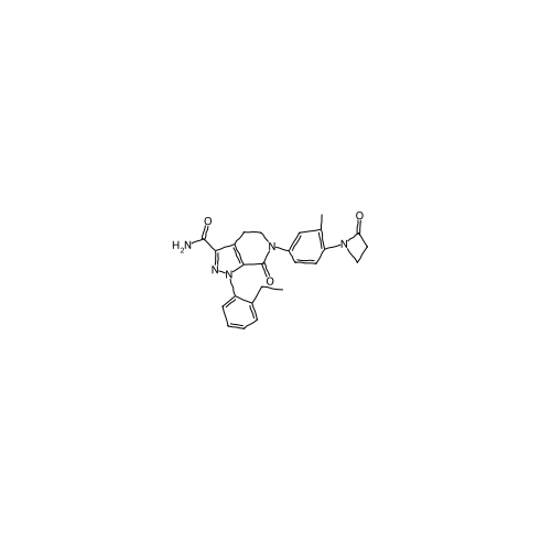 CCc1ccccc1-n1nc(C(N)=O)c2c1C(=O)N(c1ccc(N3CCC3=O)c(C)c1)CC2